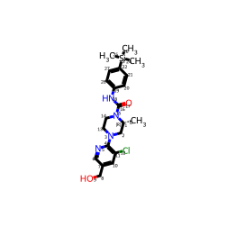 C[C@@H]1CN(c2ncc(CO)cc2Cl)CCN1C(=O)Nc1ccc([Si](C)(C)C)cc1